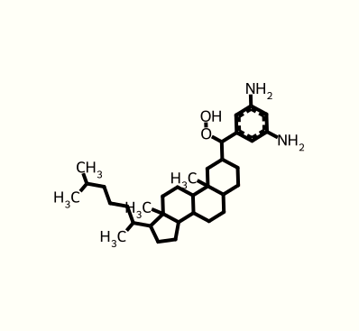 CC(C)CCCC(C)C1CCC2C3CCC4CCC(C(OO)c5cc(N)cc(N)c5)CC4(C)C3CCC12C